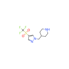 O=S(=O)(c1cnn(CC2CCNCC2)c1)C(F)(F)F